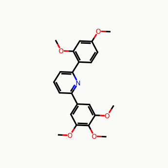 COc1ccc(-c2cccc(-c3cc(OC)c(OC)c(OC)c3)n2)c(OC)c1